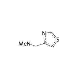 CNCc1cs[c]n1